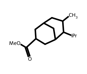 COC(=O)C1CC2CC(C)C(C(C)C)C(C2)C1